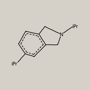 CC(C)c1ccc2c(c1)CN(C(C)C)C2